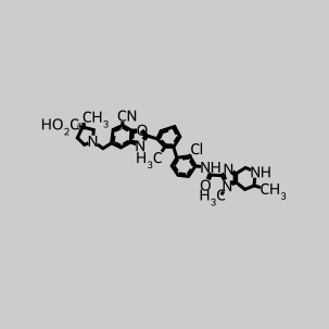 Cc1c(-c2nc3cc(CN4CC[C@@](C)(C(=O)O)C4)cc(C#N)c3o2)cccc1-c1cccc(NC(=O)c2nc3c(n2C)CC(C)NC3)c1Cl